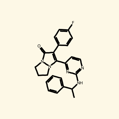 CC(Nc1nccc(-c2c(-c3ccc(F)cc3)c(=O)n3n2CCC3)n1)c1ccccc1